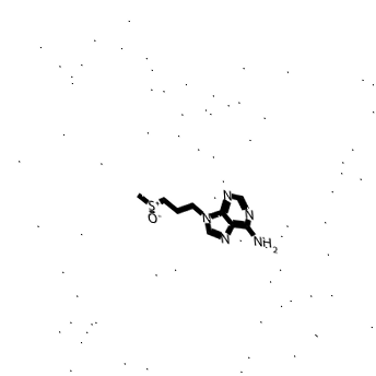 C[S+]([O-])CCCn1cnc2c(N)ncnc21